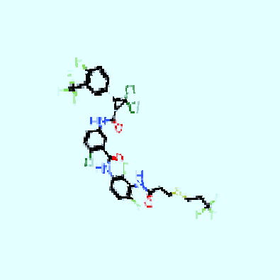 O=C(CCSCCC(F)(F)F)Nc1c(F)ccc(NC(=O)c2cc(NC(=O)[C@H]3[C@H](c4ccc(F)c(C(F)(F)F)c4)C3(Cl)Cl)ccc2Cl)c1F